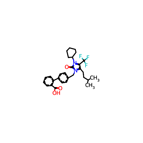 CC(C)CCc1c(C(F)(F)F)n(C2CCCCC2)c(=O)n1Cc1ccc(-c2ccccc2C(=O)O)cc1